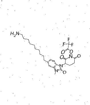 Cn1c(=O)n(C2CCC(=O)N(OC(=O)C(F)(F)F)C2=O)c2ccc(CCCCCCCCCCN)cc21